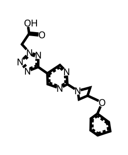 O=C(O)Cn1nnc(-c2cnc(N3CC(Oc4ccccc4)C3)nc2)n1